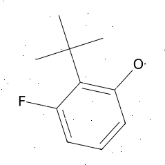 CC(C)(C)c1c([O])cccc1F